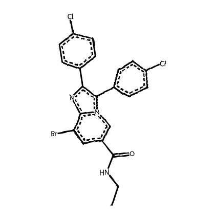 CCNC(=O)c1cc(Br)c2nc(-c3ccc(Cl)cc3)c(-c3ccc(Cl)cc3)n2c1